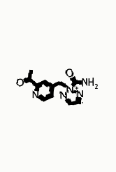 CC(=O)c1cc(C[N+]2(C(N)=O)N=[C]C=N2)ccn1